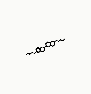 CC=CCCc1ccc2c(c1)CCC(C1CCC3CC(CCC=CC)CCC3C1)C2